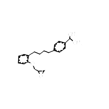 CC(C)c1ccc(CCCCc2ccccc2OCC2CO2)cc1